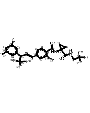 O=C(NC1(C(=O)NCC(F)(F)F)CC1)c1ccc(/C=C/C(c2cc(Cl)cc(Cl)c2)C(F)(F)F)cc1Br